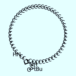 CC(C)(C)[S+]([O-])N[C@H]1CC[C@]12CCCCCCCCCCCCCCCCCCCCCCCCCCCCCCCCCCCCCCCCCCCCCCCCNCC2